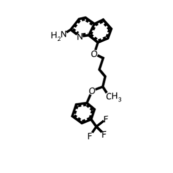 CC(CCCOc1cccc2ccc(N)nc12)Oc1cccc(C(F)(F)F)c1